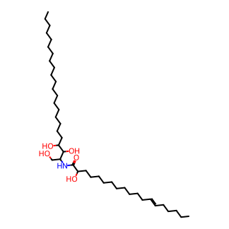 CCCCC/C=C/CCCCCCCCCCC(O)C(=O)NC(CO)C(O)C(O)CCCCCCCCCCCCCCCCCCC